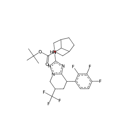 CC(C)(C)OC(=O)N1CC2CCC(C1)C2Nc1nc2n(n1)CC(C(F)(F)F)CC2c1ccc(F)c(F)c1F